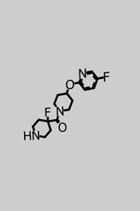 O=C(N1CCC(Oc2ccc(F)cn2)CC1)C1(F)CCNCC1